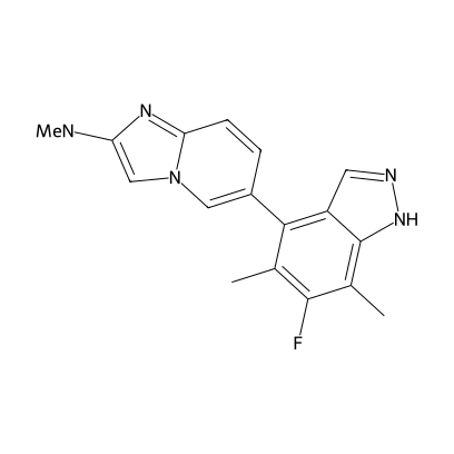 CNc1cn2cc(-c3c(C)c(F)c(C)c4[nH]ncc34)ccc2n1